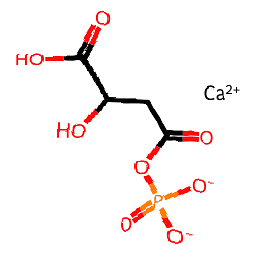 O=C(CC(O)C(=O)O)OP(=O)([O-])[O-].[Ca+2]